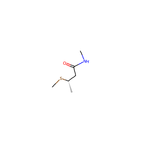 CNC(=O)C[C@H](C)SC